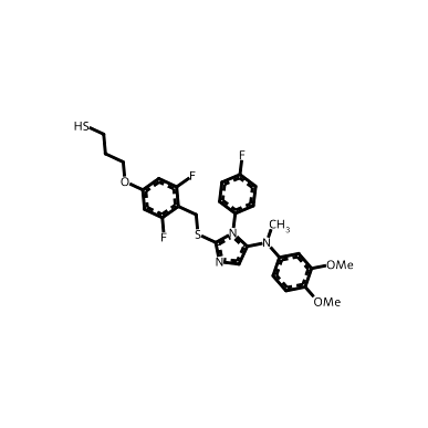 COc1ccc(N(C)c2cnc(SCc3c(F)cc(OCCCS)cc3F)n2-c2ccc(F)cc2)cc1OC